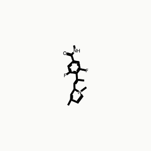 CNC(=O)c1cc(F)c(/C(C)=C/C2C=C(C)C=CN2C)c(F)c1